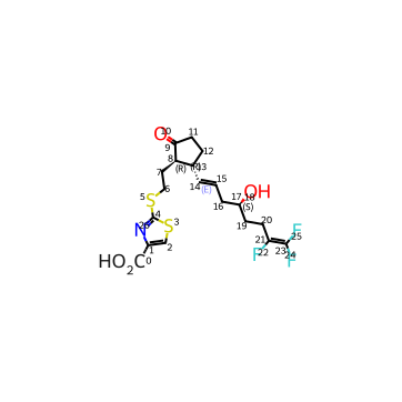 O=C(O)c1csc(SCC[C@H]2C(=O)CC[C@@H]2/C=C/C[C@@H](O)CCC(F)=C(F)F)n1